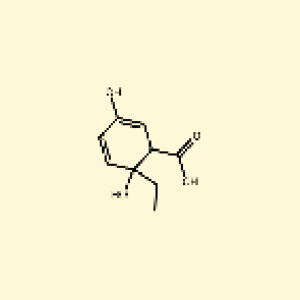 CCC1(O)C=CC(O)=CC1C(=O)O